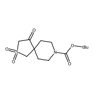 CC(C)(C)OC(=O)N1CCC2(CC1)CS(=O)(=O)CC2=O